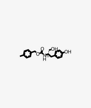 Cc1ccc(COC(=O)N[C@H](CO)Cc2ccc(O)cc2)cc1